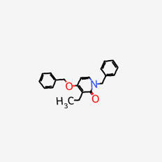 CCc1c(OCc2ccccc2)ccn(Cc2ccccc2)c1=O